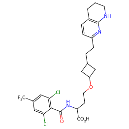 O=C(NC(CCOC1CC(CCc2ccc3c(n2)NCCC3)C1)C(=O)O)c1c(Cl)cc(C(F)(F)F)cc1Cl